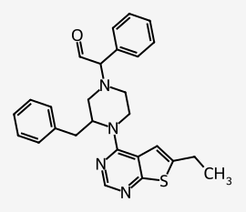 CCc1cc2c(N3CCN(C(C=O)c4ccccc4)CC3Cc3ccccc3)ncnc2s1